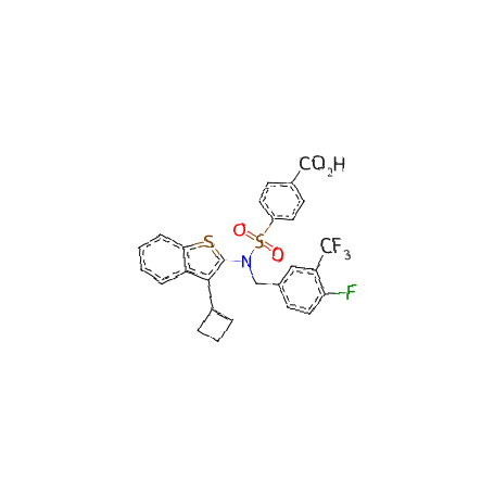 O=C(O)c1ccc(S(=O)(=O)N(Cc2ccc(F)c(C(F)(F)F)c2)c2sc3ccccc3c2C2CCC2)cc1